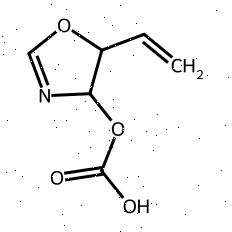 C=CC1OC=NC1OC(=O)O